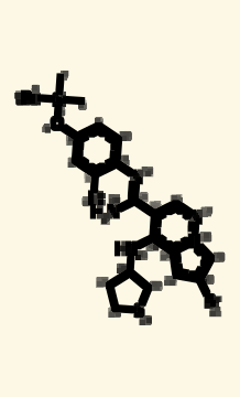 CCc1cc(O[Si](C)(C)C(C)(C)C)ccc1/N=C(\N)c1cnn2cc(Br)cc2c1NC1CCSC1